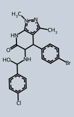 Cc1nn(C)c2c1C(c1ccc(Br)cc1)C(NC(O)c1ccc(Cl)cc1)C(=O)N2